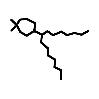 CCCCCCCC(CCCCCCC)N1CCCS(C)(C)CC1